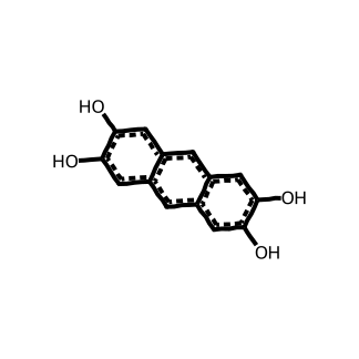 Oc1cc2cc3cc(O)c(O)cc3cc2cc1O